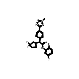 Cn1nnc(-c2ccc(C(C(=O)Nc3cc(Cl)ccc3F)C3CCC(F)(F)C3)cc2)n1